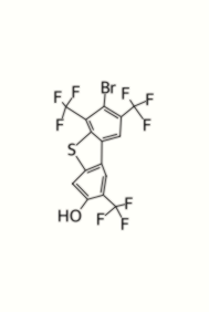 Oc1cc2sc3c(C(F)(F)F)c(Br)c(C(F)(F)F)cc3c2cc1C(F)(F)F